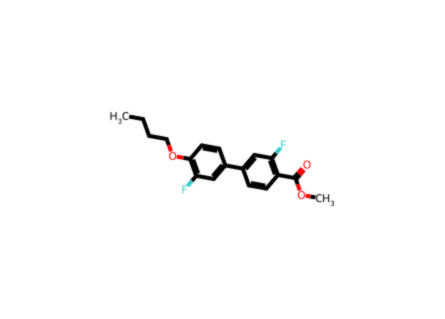 CCCCOc1ccc(-c2ccc(C(=O)OC)c(F)c2)cc1F